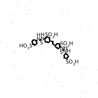 O=S(=O)(O)c1ccc(NC(=S)Nc2ccc(C=Cc3ccc(NC(=S)Nc4ccc(S(=O)(=O)O)cc4)c(S(=O)(=O)O)c3)cc2S(=O)(=O)O)cc1